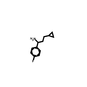 NC(CCC1CC1)c1ccc(F)cc1